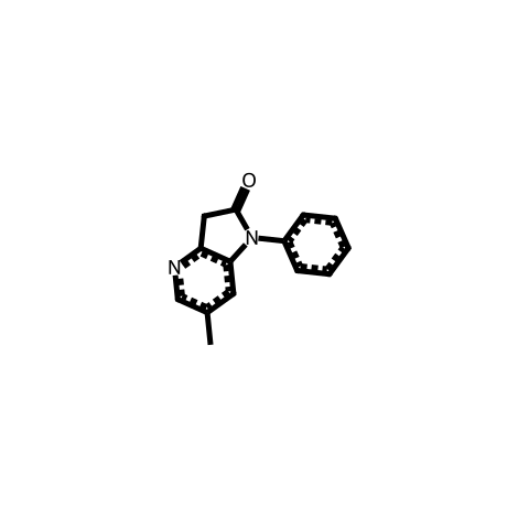 Cc1cnc2c(c1)N(c1ccccc1)C(=O)C2